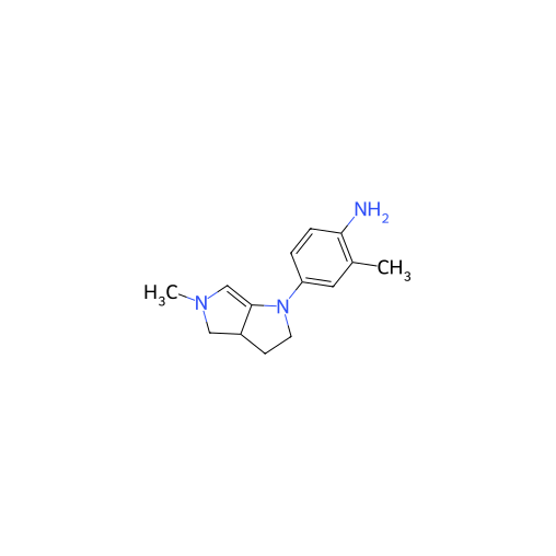 Cc1cc(N2CCC3CN(C)C=C32)ccc1N